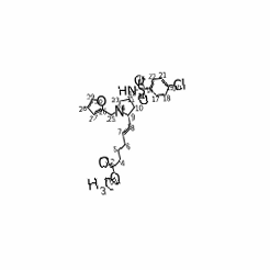 COC(=O)CCCC=C[C@@H]1C[C@@H](NS(=O)(=O)c2ccc(Cl)cc2)CN1Cc1ccco1